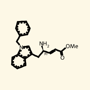 COC(=O)C=C[C@H](N)Cc1cn(Cc2ccccc2)c2ccccc12